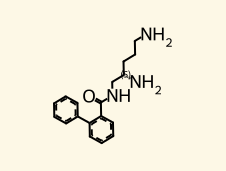 NCCC[C@H](N)CNC(=O)c1ccccc1-c1ccccc1